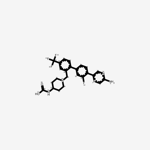 Nc1cnc(-c2ccc(-c3ccc(C(F)(F)F)cc3CN3CCC(NC(=O)O)CC3)cc2F)cn1